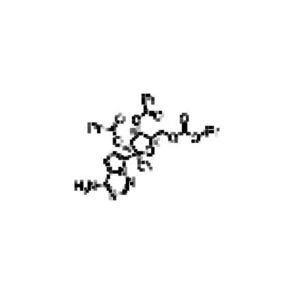 CC(C)OC(=O)OC[C@H]1O[C@@](C#N)(c2ccc3c(N)ncnn23)[C@H](OC(=O)C(C)C)[C@@H]1OC(=O)C(C)C